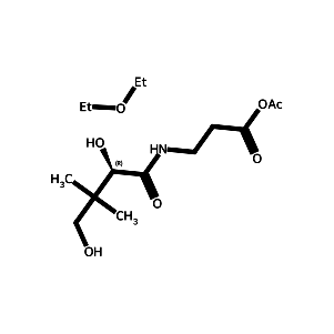 CC(=O)OC(=O)CCNC(=O)[C@H](O)C(C)(C)CO.CCOCC